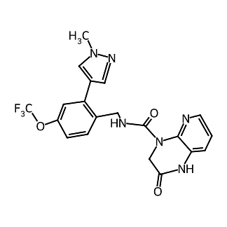 Cn1cc(-c2cc(OC(F)(F)F)ccc2CNC(=O)N2CC(=O)Nc3cccnc32)cn1